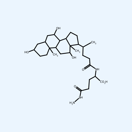 CC(CCC(=O)NC(CCC(=O)BN)C(=O)O)C1CCC2C3C(O)CC4CC(O)CCC4(C)C3CC(O)C12C